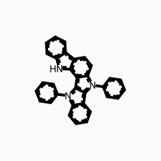 c1ccc(-n2c3ccc4c5ccccc5[nH]c4c3c3c2c2ccccc2n3-c2ccccc2)cc1